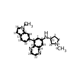 CN1CC[C@H](Nc2cc(-c3ccc4ccn(C)c4c3)c3nccnc3c2)C1